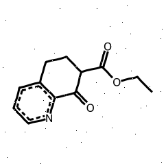 CCOC(=O)C1CCc2cccnc2C1=O